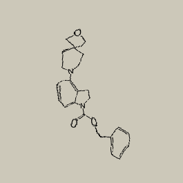 O=C(OCc1ccccc1)N1CCc2c(N3CCC4(CC3)COC4)cccc21